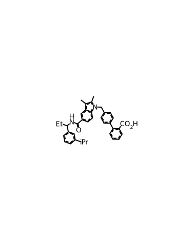 CCC(NC(=O)c1ccc2c(c1)c(C)c(C)n2Cc1ccc(-c2ccccc2C(=O)O)cc1)c1cccc(C(C)C)c1